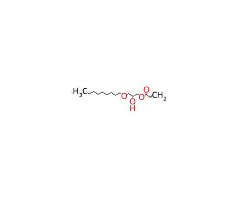 C=CC(=O)OCC(O)COCCCCCCCCC